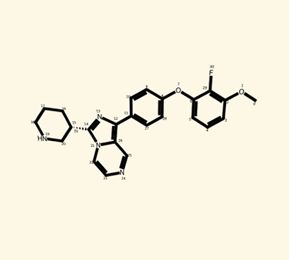 COc1cccc(Oc2ccc(-c3nc([C@H]4CCCNC4)n4ccncc34)cc2)c1F